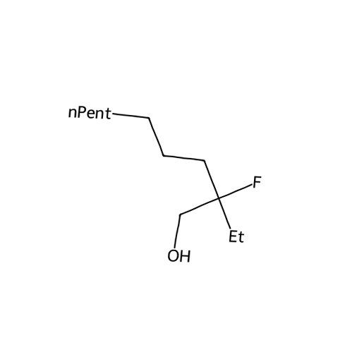 CCCCCCCCC(F)(CC)CO